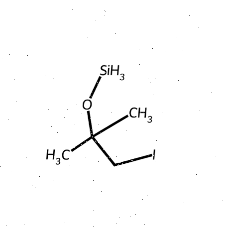 CC(C)(CI)O[SiH3]